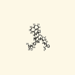 C=CC(=O)N1CC2CCN(c3nc(OC[C@@H]4CCCN4C)nc4c3CCN(c3cccc5cccc(Cl)c35)C4)C2C1